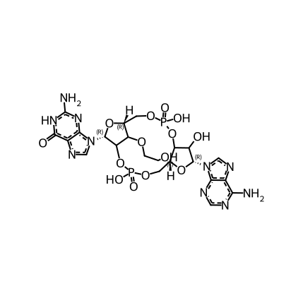 Nc1nc2c(ncn2[C@@H]2O[C@@H]3COP(=O)(O)OC4C(O)[C@H](n5cnc6c(N)ncnc65)O[C@@H]4COP(=O)(O)OC2C3OCCO)c(=O)[nH]1